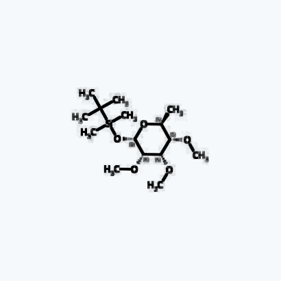 CO[C@@H]1[C@H](OC)[C@H](O[Si](C)(C)C(C)(C)C)O[C@@H](C)[C@@H]1OC